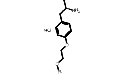 CCOCCOc1ccc(C[C@H](N)CO)cc1.Cl